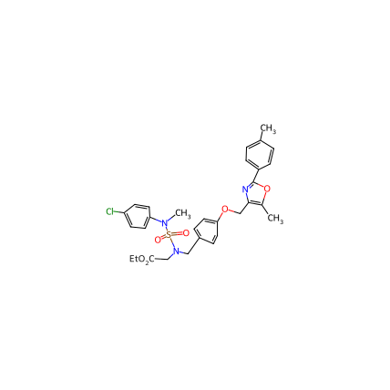 CCOC(=O)CN(Cc1ccc(OCc2nc(-c3ccc(C)cc3)oc2C)cc1)S(=O)(=O)N(C)c1ccc(Cl)cc1